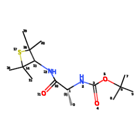 C[C@@H](NC(=O)OC(C)(C)C)C(=O)NC1C(C)(C)SC1(C)C